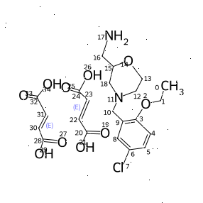 CCOc1ccc(Cl)cc1CN1CCOC(CN)C1.O=C(O)/C=C/C(=O)O.O=C(O)/C=C/C(=O)O